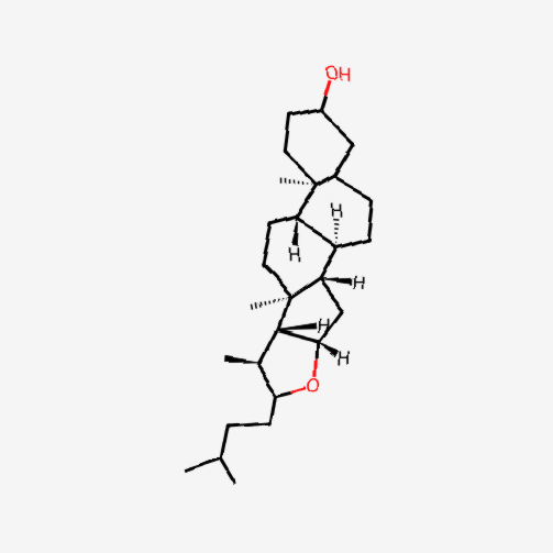 CC(C)CCC1O[C@H]2C[C@H]3[C@@H]4CCC5CC(O)CC[C@]5(C)[C@H]4CC[C@]3(C)[C@H]2[C@@H]1C